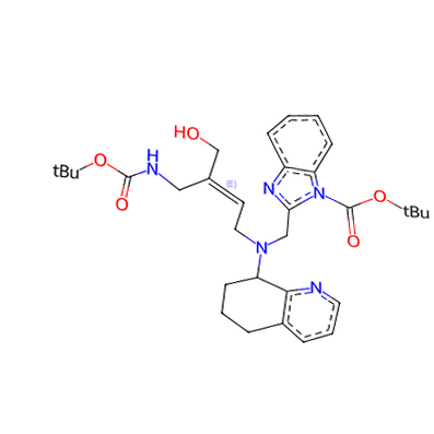 CC(C)(C)OC(=O)NC/C(=C\CN(Cc1nc2ccccc2n1C(=O)OC(C)(C)C)C1CCCc2cccnc21)CO